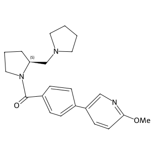 COc1ccc(-c2ccc(C(=O)N3CCC[C@H]3CN3CCCC3)cc2)cn1